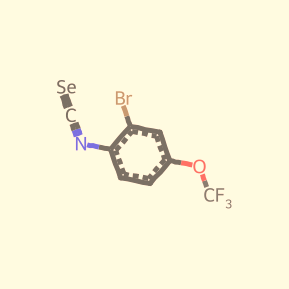 FC(F)(F)Oc1ccc(N=C=[Se])c(Br)c1